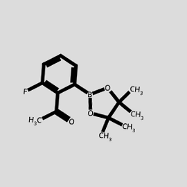 CC(=O)c1c(F)cccc1B1OC(C)(C)C(C)(C)O1